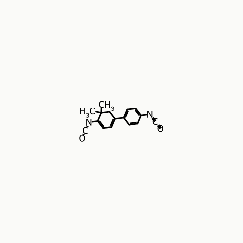 CC1(C)CC(c2ccc(N=C=O)cc2)=CC=C1N=C=O